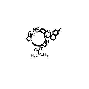 CN(C)C(=O)O[C@H]1C=CCN2CCC[C@H]2C(=O)NS(=O)(=O)c2ccc3c(c2)N(C[C@@H]2CC[C@H]21)C[C@@]1(CCCc2cc(Cl)ccc21)CO3